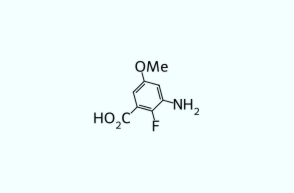 COc1cc(N)c(F)c(C(=O)O)c1